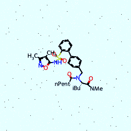 CCCCCC(=O)N(Cc1ccc(-c2ccccc2S(=O)(=O)Nc2onc(C)c2C)cc1)[C@H](C(=O)NC)C(C)CC